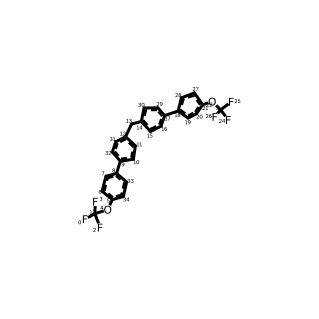 FC(F)(F)Oc1ccc(-c2ccc(Cc3ccc(-c4ccc(OC(F)(F)F)cc4)cc3)cc2)cc1